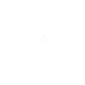 CCCCCCCCCN1C=CN(CCCCCC)C1CCCCC